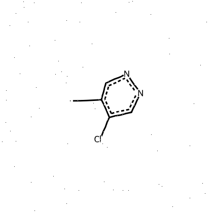 [CH2]c1cnncc1Cl